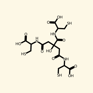 O=C(CC(O)(CC(=O)NC(CS)C(=O)O)C(=O)NC(CS)C(=O)O)NC(CS)C(=O)O